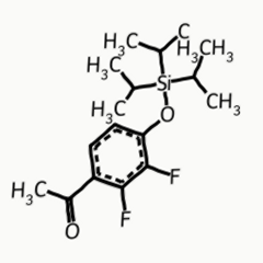 CC(=O)c1ccc(O[Si](C(C)C)(C(C)C)C(C)C)c(F)c1F